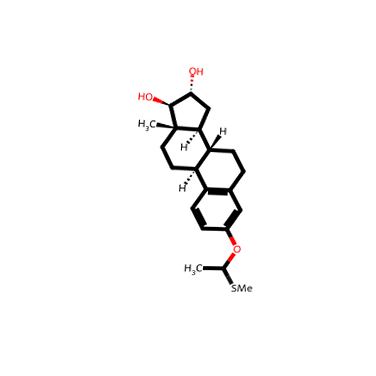 CSC(C)Oc1ccc2c(c1)CC[C@@H]1[C@@H]2CC[C@]2(C)[C@@H](O)[C@H](O)C[C@@H]12